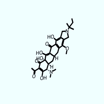 CCC(C)(C)N1Cc2c(O)c3c(c(OC)c2C1)C[C@H]1C[C@H]2[C@H](N(C)C)C(O)=C(C(C)=O)C(=O)[C@@]2(O)C(O)=C1C3=O